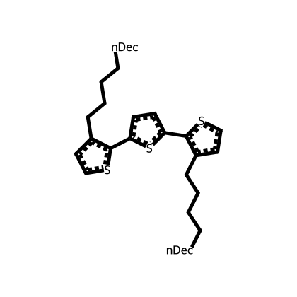 CCCCCCCCCCCCCCc1ccsc1-c1ccc(-c2sccc2CCCCCCCCCCCCCC)s1